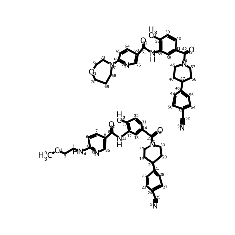 COCCNc1ccc(C(=O)Nc2cc(C(=O)N3CCC(c4ccc(C#N)cc4)CC3)ccc2C)cn1.Cc1ccc(C(=O)N2CCC(c3ccc(C#N)cc3)CC2)cc1NC(=O)c1ccc(N2CCCOCC2)nc1